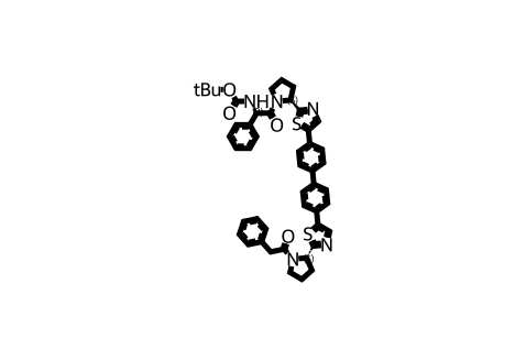 CC(C)(C)OC(=O)N[C@@H](C(=O)N1CCC[C@H]1c1ncc(-c2ccc(-c3ccc(-c4cnc([C@@H]5CCCN5C(=O)Cc5ccccc5)s4)cc3)cc2)s1)c1ccccc1